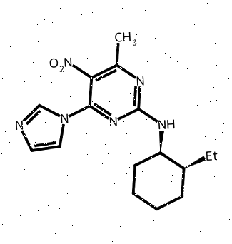 CC[C@H]1CCCC[C@H]1Nc1nc(C)c([N+](=O)[O-])c(-n2ccnc2)n1